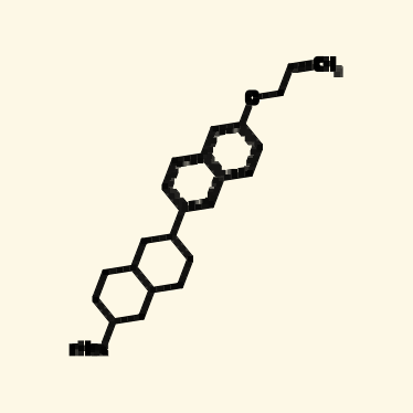 C=CCOc1ccc2cc(C3CCC4CC(CCCCCC)CCC4C3)ccc2c1